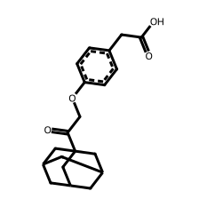 O=C(O)Cc1ccc(OCC(=O)C23CC4CC(CC(C4)C2)C3)cc1